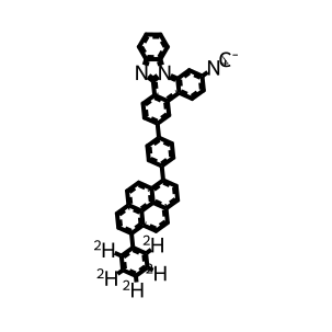 [2H]c1c([2H])c([2H])c(-c2ccc3ccc4c(-c5ccc(-c6ccc7c(c6)c6ccc([N+]#[C-])cc6n6c8ccccc8nc76)cc5)ccc5ccc2c3c54)c([2H])c1[2H]